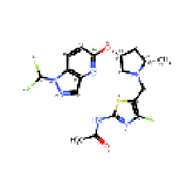 CC(=O)Nc1nc(F)c(CN2C[C@H](Oc3ccc4c(cnn4C(F)F)n3)C[C@@H]2C)s1